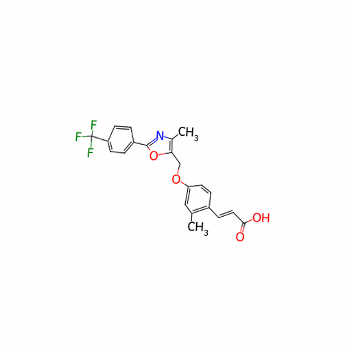 Cc1cc(OCc2oc(-c3ccc(C(F)(F)F)cc3)nc2C)ccc1/C=C/C(=O)O